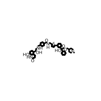 CN1CCC(COC(=O)C(O)(c2ccccc2)c2cccc(-c3ccc(CNC(=O)c4ccc(CNCC(O)c5ccc(O)c6[nH]c(=O)ccc56)cc4)s3)c2)CC1